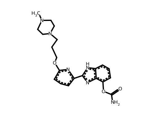 CN1CCN(CCCOc2cccc(-c3nc4c(OC(N)=O)cccc4[nH]3)n2)CC1